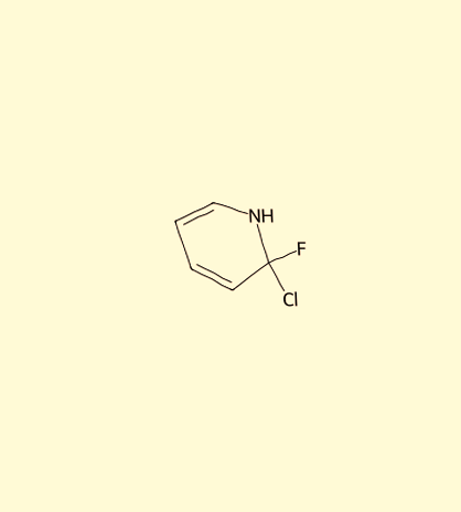 FC1(Cl)C=CC=CN1